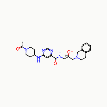 CC(=O)N1CCC(Nc2cc(C(=O)NC[C@@H](O)CN3CCc4ccccc4C3)ncn2)CC1